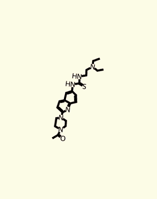 CCN(CC)CCNC(=S)Nc1ccc2nc(N3CCN(C(C)=O)CC3)ccc2c1